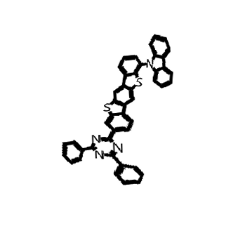 c1ccc(-c2nc(-c3ccccc3)nc(-c3ccc4c(c3)sc3cc5c(cc34)sc3c(-n4c6ccccc6c6ccccc64)cccc35)n2)cc1